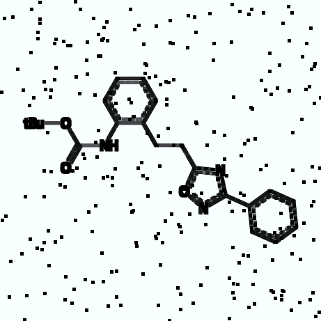 CC(C)(C)OC(=O)Nc1ccccc1CCc1nc(-c2ccccc2)no1